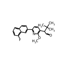 COc1nc(-c2ccc3cccc(F)c3c2)ccc1C(C=O)C(C)(C)C